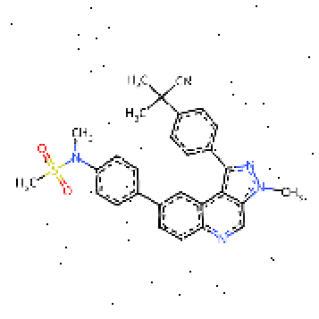 CN(c1ccc(-c2ccc3ncc4c(c(-c5ccc(C(C)(C)C#N)cc5)nn4C)c3c2)cc1)S(C)(=O)=O